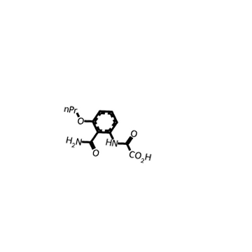 CCCOc1cccc(NC(=O)C(=O)O)c1C(N)=O